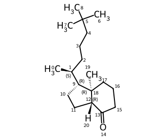 C[C@@H](CCCC(C)(C)C)[C@H]1CC[C@H]2C(=O)CCC[C@]12C